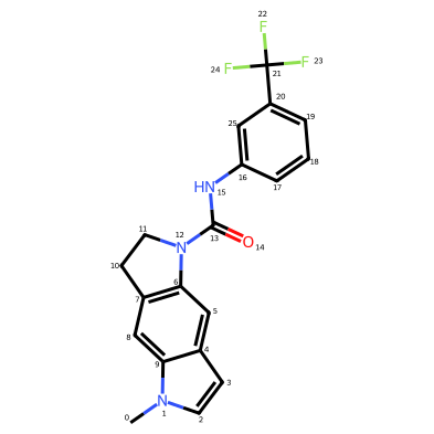 Cn1ccc2cc3c(cc21)CCN3C(=O)Nc1cccc(C(F)(F)F)c1